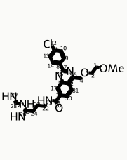 COCCOCc1nc(-c2ccc(Cl)cc2)nc2cc(C(=O)NCCCC(=N)NC=N)ccc12